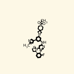 Cn1cc(-c2cc(Nc3cc(N4OCC[C@@H]4c4cccc(F)c4F)ncn3)cc(N3CC4(CCN(S(C)(=O)=O)CC4)C3)c2)cn1